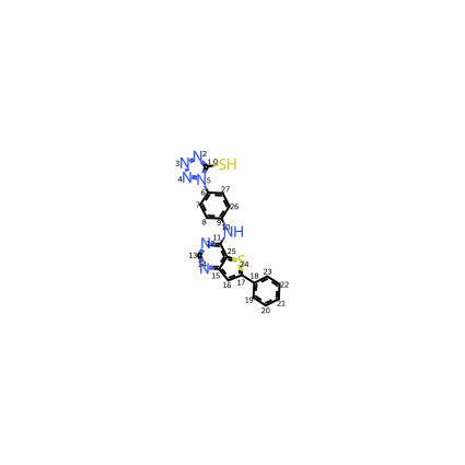 Sc1nnnn1-c1ccc(Nc2ncnc3cc(-c4ccccc4)sc23)cc1